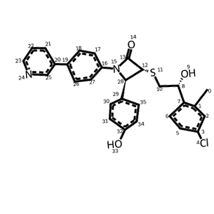 Cc1cc(Cl)ccc1[C@@H](O)CS[C@H]1C(=O)N(c2ccc(-c3cccnc3)cc2)[C@@H]1c1ccc(O)cc1